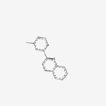 Cc1cccc(-c2ccc3ccccc3n2)c1